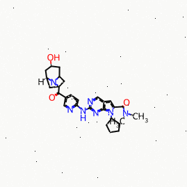 CN(C)C(=O)c1cc2cnc(Nc3ccc(C(=O)C45CC6C[C@H](O)C[C@H](C4)N65)cn3)nc2n1C1CCCC1